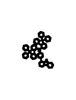 c1ccc(C2(c3ccccc3)c3ccccc3-c3c(N(c4ccc(-c5cccc6c5sc5ccccc56)cc4)c4cccc5c4-c4ccccc4C5(c4ccccc4)c4ccccc4)cccc32)cc1